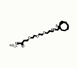 O=C(O)NC(=O)CCOCCOCCOCCCNCC1(F)C#CCCCCC1